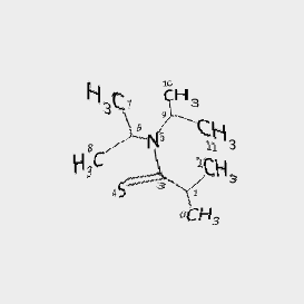 CC(C)C(=S)N(C(C)C)C(C)C